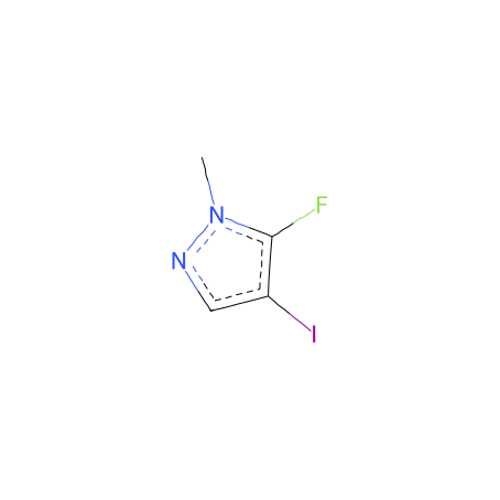 Cn1ncc(I)c1F